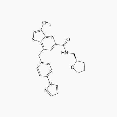 Cc1csc2c(Cc3ccc(-n4cccn4)cc3)cc(C(=O)NC[C@H]3CCCO3)nc12